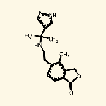 Cc1c(CCNC(C)(C)c2cn[nH]c2)ccc2c1COC2=O